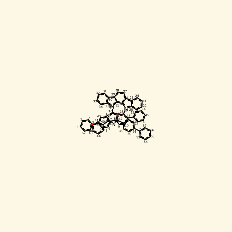 c1ccc(-c2ccc(-c3ccc(-c4ccccc4)c(-n4c5ccccc5c5ccc6c7ccccc7n(-c7nc(-c8ccccc8)nc(-c8ccc(-c9ccccc9)cc8)n7)c6c54)c3)cc2)cc1